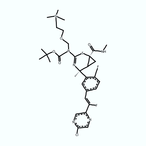 CNC(=O)[C@]12CC1[C@@](C)(c1cc(/C=C(\F)c3cnc(Cl)cn3)ccc1F)N=C(N(COCC[Si](C)(C)C)C(=O)OC(C)(C)C)S2